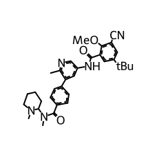 COc1c(C#N)cc(C(C)(C)C)cc1C(=O)Nc1cnc(C)c(-c2ccc(C(=O)N(C)C3CCCCN3C)cc2)c1